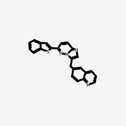 c1cnc2ccc(Cc3cnc4ccc(-c5cc6ccccc6s5)nn34)cc2c1